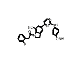 COc1ccc(Nc2nccc(-c3cc(C#N)c4c(c3)CCN4C(=O)Cc3ccccc3F)n2)cc1